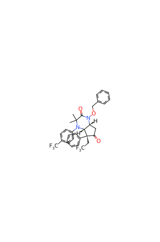 CC1(C)C(=O)N(OCc2ccccc2)[C@@H]2CC(=O)[C@](CC(F)(F)F)(c3ccccc3)[C@@H]2N1c1ccc(C(F)(F)F)cc1